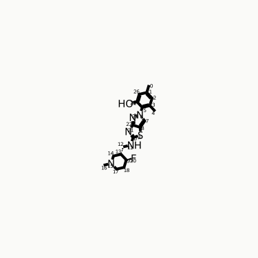 Cc1cc(C)c(-n2cc3sc(NC[C@H]4CN(C)CC[C@@H]4F)nc3n2)c(O)c1